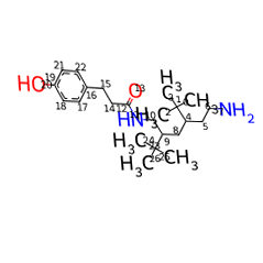 CC(C)(C)C(CCN)CC(CNC(=O)CCc1ccc(O)cc1)C(C)(C)C